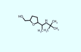 CC(NC(C)(C)C)C1CCC(CO)O1